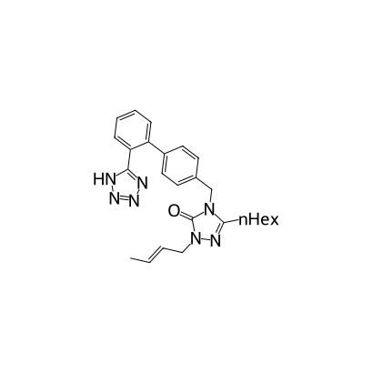 CC=CCn1nc(CCCCCC)n(Cc2ccc(-c3ccccc3-c3nnn[nH]3)cc2)c1=O